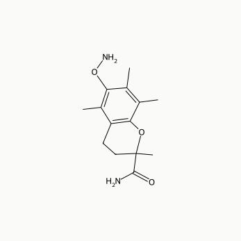 Cc1c(C)c2c(c(C)c1ON)CCC(C)(C(N)=O)O2